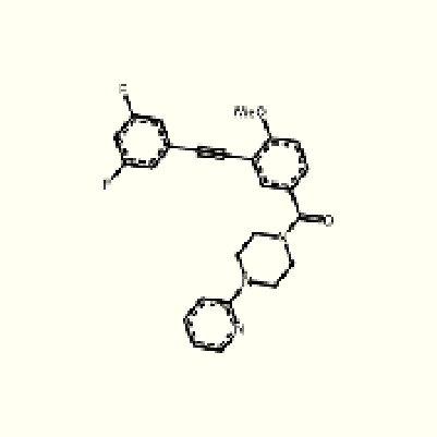 COc1ccc(C(=O)N2CCN(c3ccccn3)CC2)cc1C#Cc1cc(F)cc(F)c1